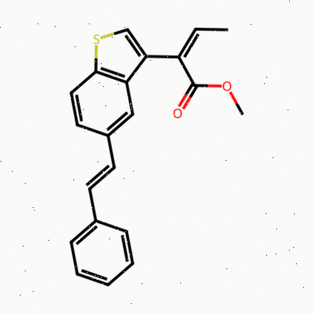 CC=C(C(=O)OC)c1csc2ccc(C=Cc3ccccc3)cc12